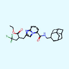 CCOC(=O)C(Cc1cn2c(C(=O)NCC34CC5CC6CC(C3)C6(C5)C4)cccc2n1)CC(F)(F)F